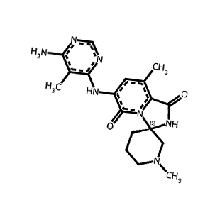 Cc1cc(Nc2ncnc(N)c2C)c(=O)n2c1C(=O)N[C@@]21CCCN(C)C1